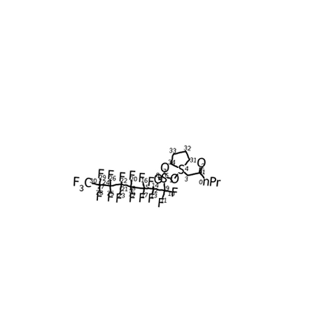 CCCC(=O)CS1(OS(=O)(=O)C(F)(F)C(F)(F)C(F)(F)C(F)(F)C(F)(F)C(F)(F)C(F)(F)C(F)(F)F)CCCC1